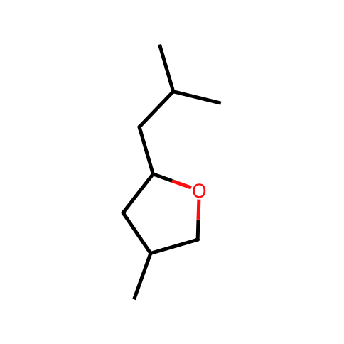 CC(C)CC1CC(C)CO1